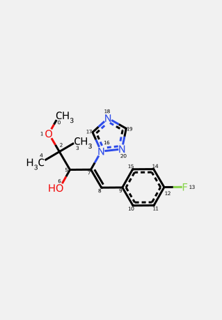 COC(C)(C)C(O)C(=Cc1ccc(F)cc1)n1cncn1